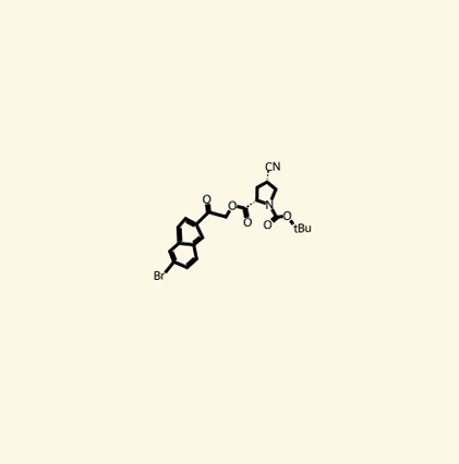 CC(C)(C)OC(=O)N1C[C@@H](C#N)C[C@H]1C(=O)OCC(=O)c1ccc2cc(Br)ccc2c1